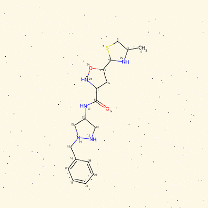 CC1CSC(C2CC(C(=O)NC3CNN(Cc4ccccc4)C3)NO2)N1